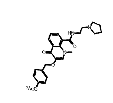 COc1ccc(COc2cn(C)c3c(C(=O)NCCN4CCCC4)cccc3c2=O)cc1